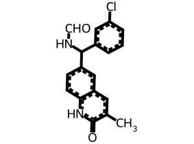 Cc1cc2cc(C(NC=O)c3cccc(Cl)c3)ccc2[nH]c1=O